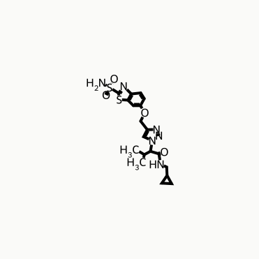 CC(C)C(C(=O)NCC1CC1)n1cc(COc2ccc3nc(S(N)(=O)=O)sc3c2)nn1